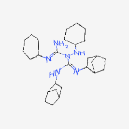 NC(=NC1CCCCC1)N(NC1CCCCC1)C(=NC1CC2CCC1C2)NC1CC2CCC1C2